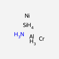 N.[AlH3].[Cr].[Ni].[SiH4]